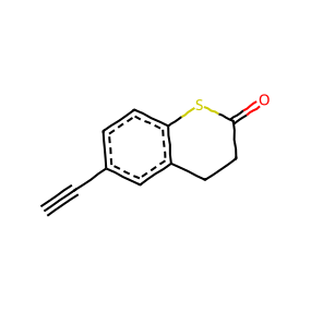 C#Cc1ccc2c(c1)CCC(=O)S2